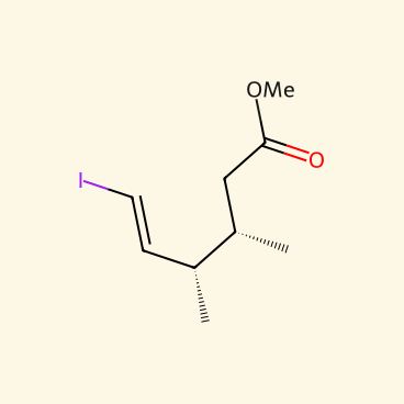 COC(=O)C[C@H](C)[C@H](C)/C=C/I